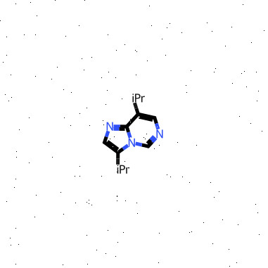 CC(C)c1cncn2c(C(C)C)cnc12